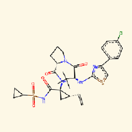 C=C[C@@H]1C[C@]1(NC(=O)[C@@H]1CCCN1C(=O)[C@@H](Nc1nc(-c2ccc(Cl)cc2)cs1)C(C)(C)C)C(=O)NS(=O)(=O)C1CC1